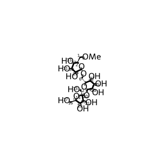 COC[C@H]1OC(OC[C@H]2OC(O[C@]3(CO)O[C@H](CO)[C@@H](O)[C@@H]3O)[C@H](O)[C@@H](O)[C@@H]2O)[C@H](O)[C@@H](O)[C@H]1O